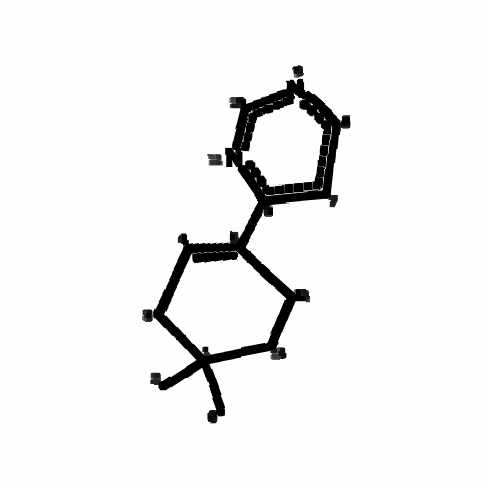 CC1(C)CC=C(c2ccncn2)CC1